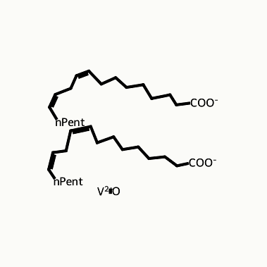 CCCCC/C=C\C/C=C\CCCCCCCC(=O)[O-].CCCCC/C=C\C/C=C\CCCCCCCC(=O)[O-].[O]=[V+2]